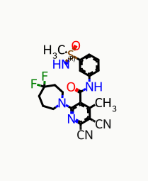 Cc1c(C#N)c(C#N)nc(N2CCCC(F)(F)CC2)c1C(=O)Nc1cccc([S@](C)(=N)=O)c1